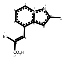 CC/C(=C\c1cccn2nc(C)cc12)C(=O)O